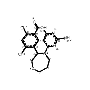 Cc1cc(N2CCCOCC2c2cc(C(=O)O)c(Cl)cc2Cl)nc(N)n1